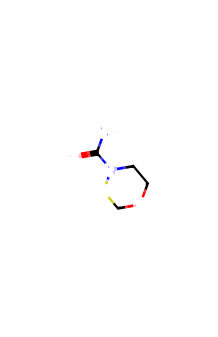 NC(=O)N1CCOCS1